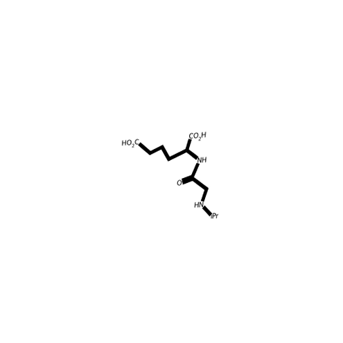 CC(C)NCC(=O)NC(CCCC(=O)O)C(=O)O